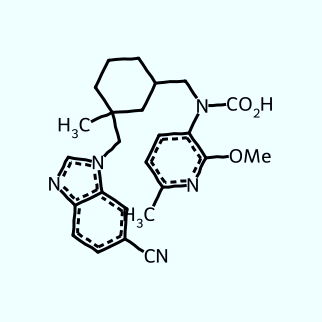 COc1nc(C)ccc1N(CC1CCCC(C)(Cn2cnc3ccc(C#N)cc32)C1)C(=O)O